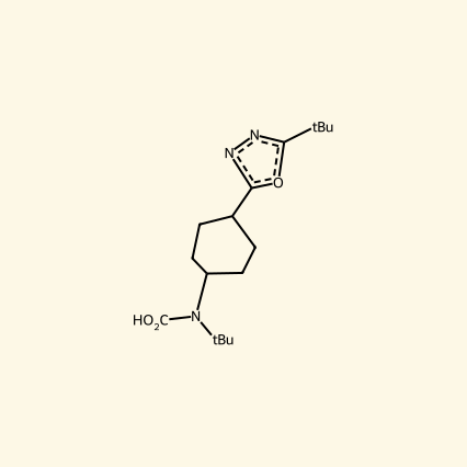 CC(C)(C)c1nnc(C2CCC(N(C(=O)O)C(C)(C)C)CC2)o1